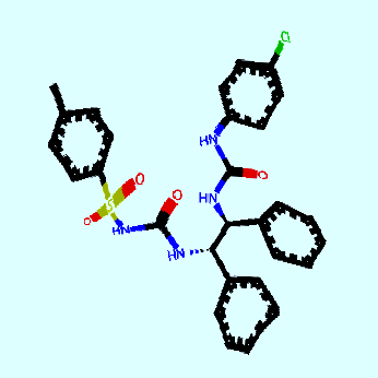 Cc1ccc(S(=O)(=O)NC(=O)N[C@@H](c2ccccc2)[C@@H](NC(=O)Nc2ccc(Cl)cc2)c2ccccc2)cc1